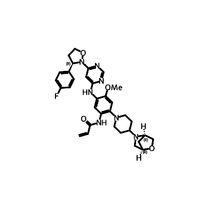 C=CC(=O)Nc1cc(Nc2cc(N3OCC[C@@H]3c3ccc(F)cc3)ncn2)c(OC)cc1N1CCC(N2C[C@H]3C[C@@H]2CO3)CC1